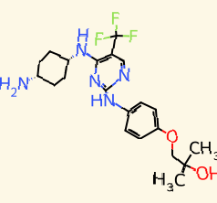 CC(C)(O)COc1ccc(Nc2ncc(C(F)(F)F)c(N[C@H]3CC[C@@H](N)CC3)n2)cc1